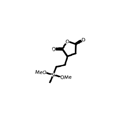 CO[Si](C)(CCC1CC(=O)OC1=O)OC